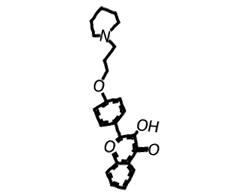 O=c1c(O)c(-c2ccc(OCCCN3CCCCC3)cc2)oc2ccccc12